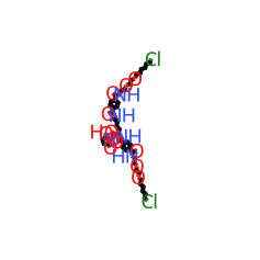 O=C(NCCCCC(NC(=O)c1ccc(C(=O)NCCOCCOCCCCCCCl)cc1)C(O)ON1C(=O)CCC1=O)c1ccc(C(=O)NCCOCCOCCCCCCCl)cc1